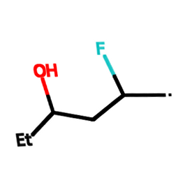 [CH2]C(F)CC(O)CC